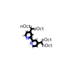 CCCCCCCCC(CCCCCCCC)c1ccnc(-c2cc(C(CCCCCCCC)CCCCCCCC)ccn2)c1